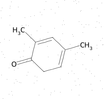 CC1=CCC(=O)C(C)=C1